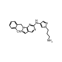 N#Cc1ccccc1Cn1ncc2cnc(Nc3cnn(CCCN)c3)nc21